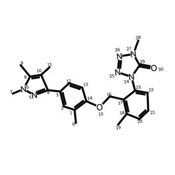 Cc1cc(-c2nn(C)c(C)c2C)ccc1OCc1c(C)cccc1-n1nnn(C)c1=O